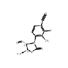 Cc1c(N2C(=O)O[C@@H](C)[C@@H]2C=O)ccc(C#N)c1Cl